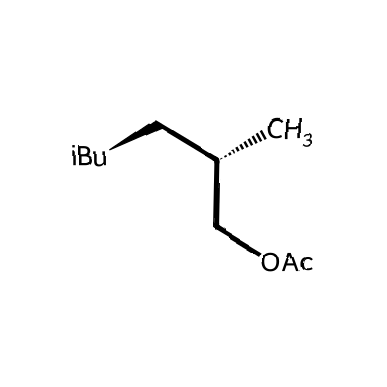 CC[C@H](C)C[C@H](C)COC(C)=O